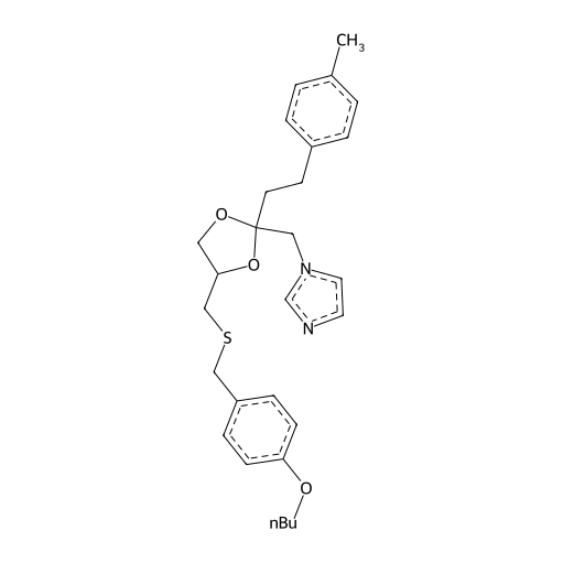 CCCCOc1ccc(CSCC2COC(CCc3ccc(C)cc3)(Cn3ccnc3)O2)cc1